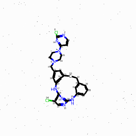 Clc1nccc(N2CCN(Cc3cc4cc(c3)Nc3nc(ncc3Cl)Nc3cccc(c3)CC4)CC2)n1